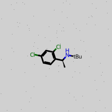 C[C@H](NC(C)(C)C)c1ccc(Cl)cc1Cl